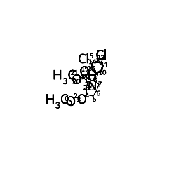 COCOC1CC2C[C@H](c3ccc(Cl)c(Cl)c3)[C@H](C(=O)OC)C1N2